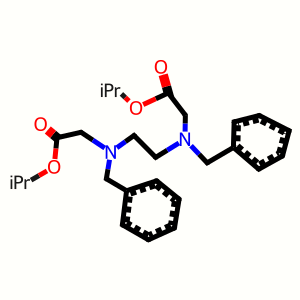 CC(C)OC(=O)CN(CCN(CC(=O)OC(C)C)Cc1ccccc1)Cc1ccccc1